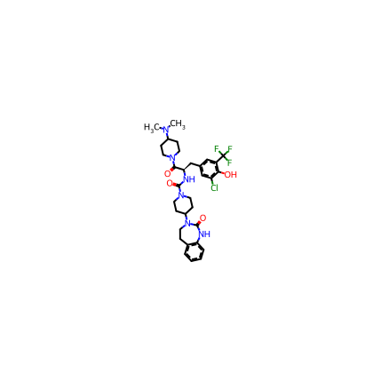 CN(C)C1CCN(C(=O)[C@@H](Cc2cc(Cl)c(O)c(C(F)(F)F)c2)NC(=O)N2CCC(N3CCc4ccccc4NC3=O)CC2)CC1